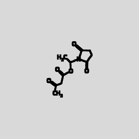 CC(=O)CC(=O)OC(C)N1C(=O)CCC1=O